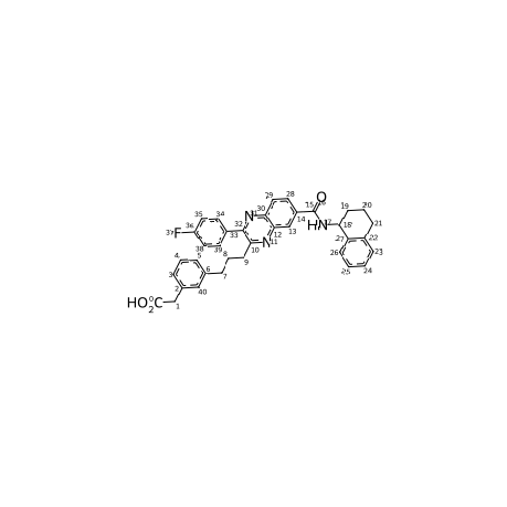 O=C(O)Cc1cccc(CCCc2nc3cc(C(=O)NC4CCCc5ccccc54)ccc3nc2-c2ccc(F)cc2)c1